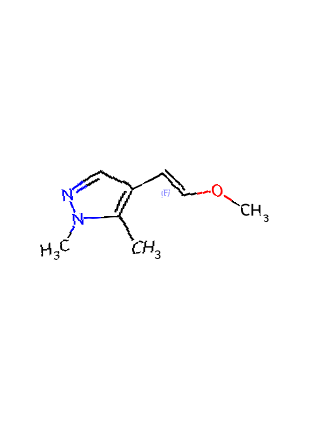 CO/C=C/c1cnn(C)c1C